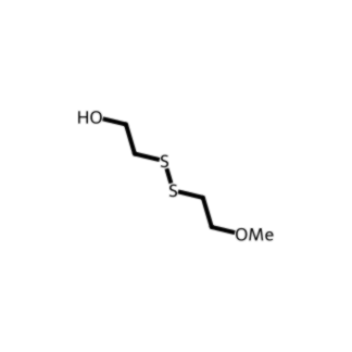 COCCSSCCO